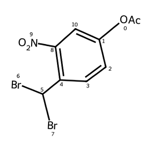 CC(=O)Oc1ccc(C(Br)Br)c([N+](=O)[O-])c1